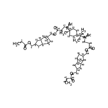 C=CC(=O)OCC1CC2C3CC(COC(=O)CCN(C(C)=O)C4(C)CCC(C(C)(C)N(CCC(=O)OCC5CC6CC5C5CC(COC(=O)C=C)CC65)C(C)=O)CC4)C(C3)C2C1